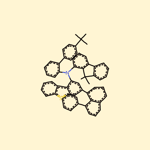 CC(C)(C)c1ccc(-c2ccccc2N(c2cccc3c2C(C)(C)c2ccccc2-3)c2cc(-c3cccc4cccc(-c5ccccc5)c34)cc3sc4ccccc4c23)cc1